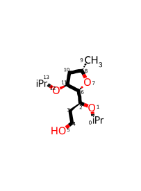 CC(C)O[C@@H](CCO)[C@H]1O[C@@H](C)C[C@@H]1OC(C)C